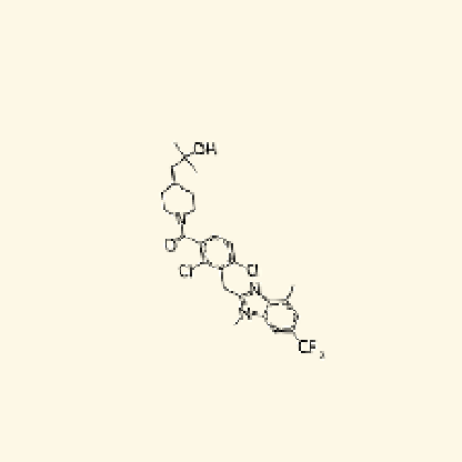 Cc1cc(C(F)(F)F)cc2c1nc(Cc1c(Cl)ccc(C(=O)N3CCC(CC(C)(C)O)CC3)c1Cl)n2C